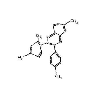 Cc1ccc(-c2nc3cc(C)ccc3nc2-c2ccc(C)cc2C)cc1